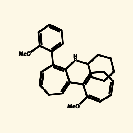 COC1=CC=CCC=C1C1=CCC=CC(c2ccccc2OC)=C1PC1CCCCC1